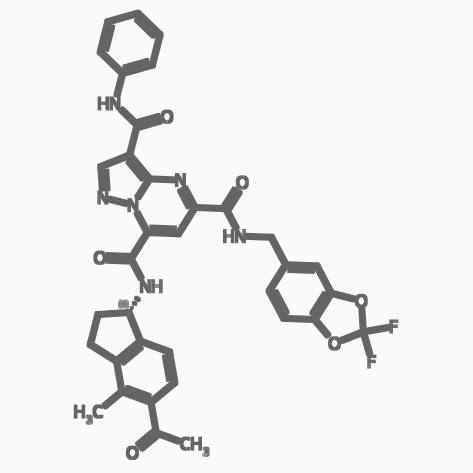 CC(=O)c1ccc2c(c1C)CC[C@@H]2NC(=O)c1cc(C(=O)NCc2ccc3c(c2)OC(F)(F)O3)nc2c(C(=O)Nc3ccccc3)cnn12